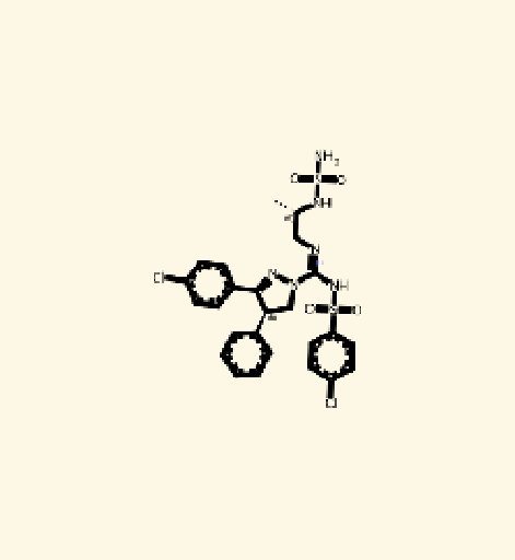 C[C@@H](C/N=C(/NS(=O)(=O)c1ccc(Cl)cc1)N1C[C@@H](c2ccccc2)C(c2ccc(Cl)cc2)=N1)NS(N)(=O)=O